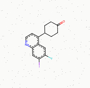 O=C1CCC(c2ccnc3cc(I)c(F)cc23)CC1